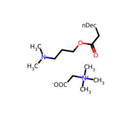 CCCCCCCCCCCC(=O)OCCCN(C)C.C[N+](C)(C)CC(=O)[O-]